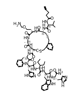 C#CCCC(=O)N[C@H](C(=O)N[C@@H]1CSCc2ccccc2CSC[C@H](C(=O)N[C@@H](Cc2ccccc2)C(=O)N[C@@H](Cc2cnc[nH]2)C(=O)N[C@H](C(=O)N[C@@H](Cc2c[nH]c3ccccc23)C(=O)N[C@@H](Cc2cnc[nH]2)C(N)=O)C(CC)CC)NC(=O)[C@H](C)NC(=O)[C@H](CCOCN)NC1=O)C(C)C